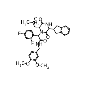 COc1ccc(CNC(=O)[C@@H](c2ccc(F)cc2F)N2C(=O)C(C3Cc4ccccc4C3)NC(=O)[C@H]2CC(C)C)cc1OC